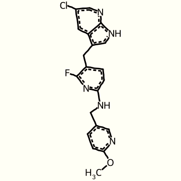 COc1ccc(CNc2ccc(Cc3c[nH]c4ncc(Cl)cc34)c(F)n2)cn1